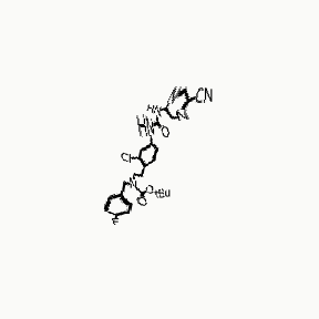 CC(C)(C)OC(=O)N(CCc1ccc(NC(=O)Nc2cnc(C#N)cn2)cc1Cl)Cc1ccc(F)cc1